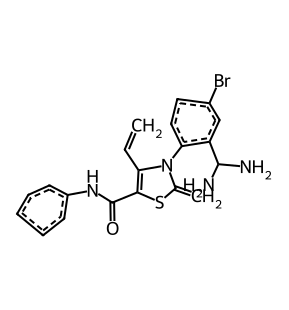 C=CC1=C(C(=O)Nc2ccccc2)SC(=C)N1c1ccc(Br)cc1C(N)N